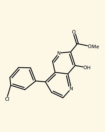 COC(=O)c1ncc2c(-c3cccc(Cl)c3)ccnc2c1O